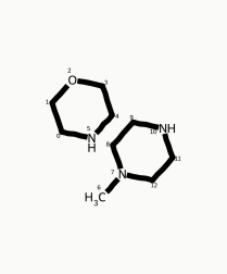 C1COCCN1.CN1CCNCC1